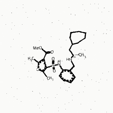 COC(=O)c1c(C)oc(C)c1S(=O)(=O)Nc1ccccc1CN[C@@H](C)CC1CCCCCC1